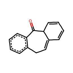 O=C1c2ccccc2CC=C2C=CC=CC12